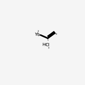 C=[CH][Yb].Cl